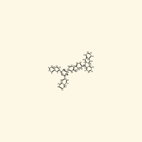 c1ccc2cc(-c3nc(-c4ccc5ccccc5c4)nc(-c4ccc5c(c4)oc4cc(-n6c7ccccc7c7cc8ccccc8cc76)ccc45)n3)ccc2c1